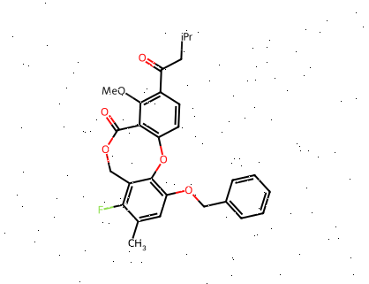 COc1c(C(=O)CC(C)C)ccc2c1C(=O)OCc1c(F)c(C)cc(OCc3ccccc3)c1O2